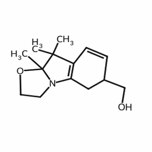 CC1(C)C2=C(CC(CO)C=C2)N2CCOC21C